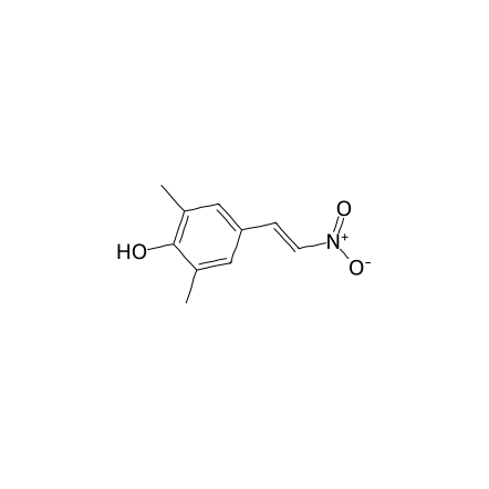 Cc1cc(/C=C/[N+](=O)[O-])cc(C)c1O